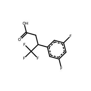 O=C(O)CC(c1cc(F)cc(F)c1)C(F)(F)F